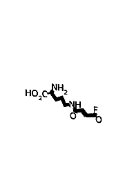 N[C@@H](CCCNC(=O)/C=C/C(=O)F)C(=O)O